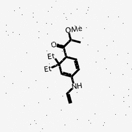 C=CNC1=CC(CC)(CC)C(C(=O)C(C)OC)C=C1